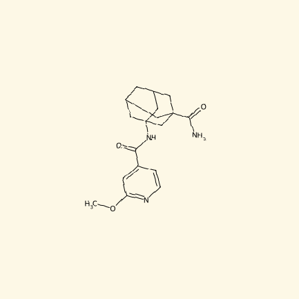 COc1cc(C(=O)NC23CC4CC(C2)CC(C(N)=O)(C4)C3)ccn1